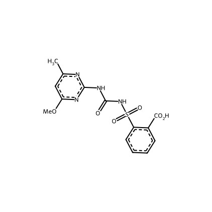 COc1cc(C)nc(NC(=O)NS(=O)(=O)c2ccccc2C(=O)O)n1